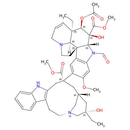 CC[C@]1(O)C[C@@H]2C[N@@](CCc3c([nH]c4ccccc34)C[C@@](C(=O)OC)(c3cc4c(cc3OC)N(C=O)[C@H]3[C@@](O)(C(=O)OC)[C@H](OC(C)=O)[C@]5(CC)C=CCN6CC[C@]43[C@@H]65)C2)C1